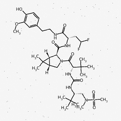 COc1cc(CCNC(=O)[C@H](CC(F)F)NC(=O)[C@@H]2[C@@H]3[C@H](CN2C(=O)[C@@H](NC(=O)N[C@H](CN(C)S(C)(=O)=O)C(C)(C)C)C(C)(C)C)C3(C)C)ccc1O